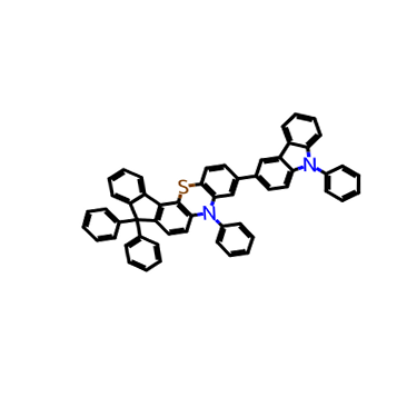 c1ccc(N2c3cc(-c4ccc5c(c4)c4ccccc4n5-c4ccccc4)ccc3Sc3c2ccc2c3-c3ccccc3C2(c2ccccc2)c2ccccc2)cc1